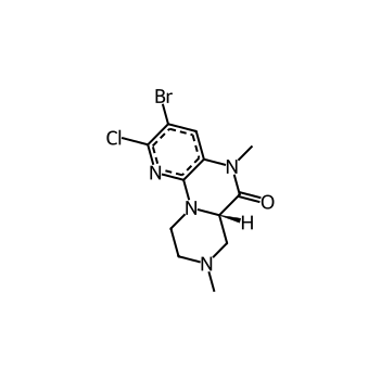 CN1CCN2c3nc(Cl)c(Br)cc3N(C)C(=O)[C@@H]2C1